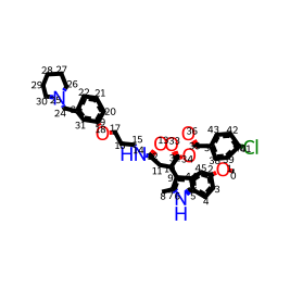 COc1ccc2[nH]c(C)c(C(CC(=O)NCCCOc3cccc(CN4CCCCC4)c3)C(=O)OC(=O)c3ccc(Cl)cc3)c2c1